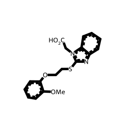 COc1ccccc1OCCSc1nc2ccccc2n1CC(=O)O